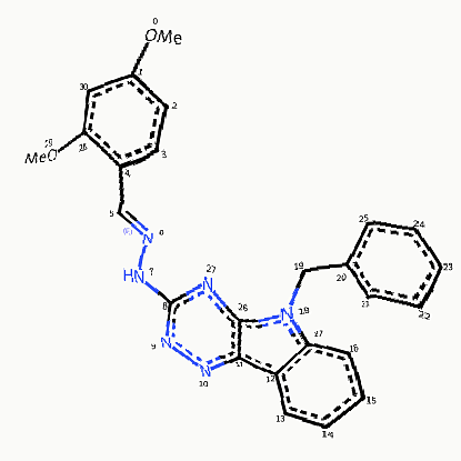 COc1ccc(/C=N/Nc2nnc3c4ccccc4n(Cc4ccccc4)c3n2)c(OC)c1